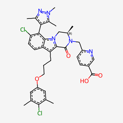 Cc1cc(OCCCc2c3n(c4c(-c5c(C)nn(C)c5C)c(Cl)ccc24)C[C@@H](C)N(Cc2ccc(C(=O)O)cn2)C3=O)cc(C)c1Cl